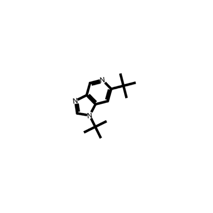 CC(C)(C)c1cc2c(cn1)ncn2C(C)(C)C